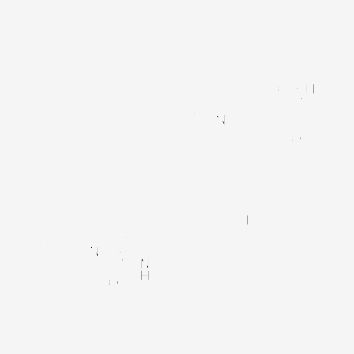 O=C(O)c1cn([C@@H]2C[C@@H]2F)c2cc(-c3ccc(NS(=O)(=O)N4CCOCC4)cc3)c(F)cc2c1=O